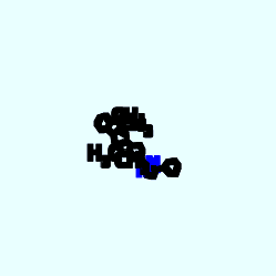 CC1(C)c2ccccc2-c2cc3c(cc21)-c1ccc(-c2nccc(-c4ccccc4)n2)cc1C3(C)C